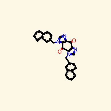 O=C1c2ncn(Cc3ccc4ccccc4c3)c2C(=O)c2c1ncn2Cc1ccc2ccccc2c1